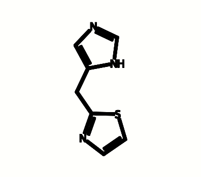 c1csc(Cc2cnc[nH]2)n1